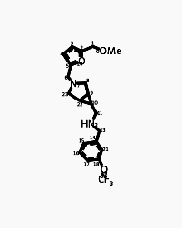 COCc1ccc(CN2CC3C(CNCc4cccc(OC(F)(F)F)c4)C3C2)o1